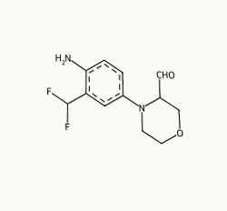 Nc1ccc(N2CCOCC2C=O)cc1C(F)F